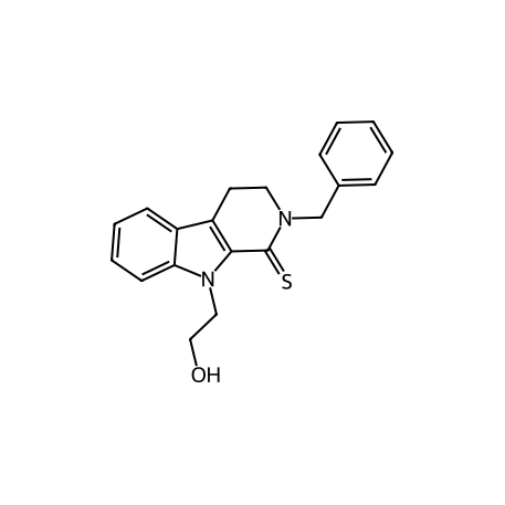 OCCn1c2c(c3ccccc31)CCN(Cc1ccccc1)C2=S